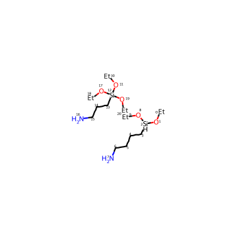 CCO[SiH](CCCCN)OCC.CCO[Si](CCCN)(OCC)OCC